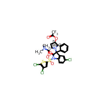 COc1ccccc1C1(N2C[C@H](OC(=O)C(F)(F)F)C[C@H]2C(=O)N(C)C)C(=O)N(S(=O)(=O)c2cc(Cl)c(Cl)s2)c2ccc(Cl)cc21